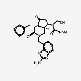 CNC(=O)N(CC#N)N1CC(=O)N2[C@@H](Cc3ccccc3)C(=O)N(Cc3cccc4sc(N)nc34)C[C@@H]21